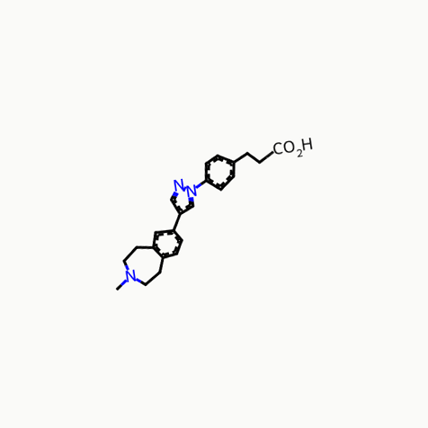 CN1CCc2ccc(-c3cnn(-c4ccc(CCC(=O)O)cc4)c3)cc2CC1